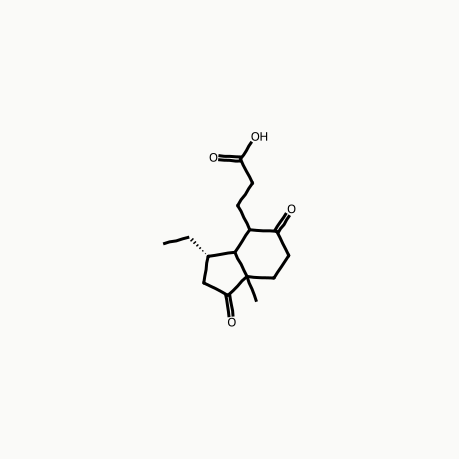 CC[C@H]1CC(=O)C2(C)CCC(=O)C(CCC(=O)O)C12